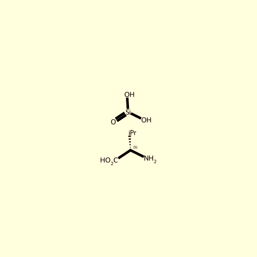 CC(C)[C@H](N)C(=O)O.O=[Si](O)O